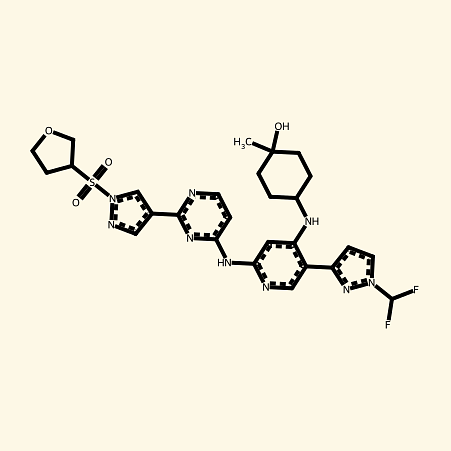 CC1(O)CCC(Nc2cc(Nc3ccnc(-c4cnn(S(=O)(=O)C5CCOC5)c4)n3)ncc2-c2ccn(C(F)F)n2)CC1